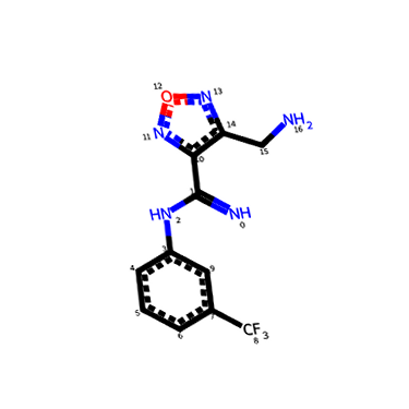 N=C(Nc1cccc(C(F)(F)F)c1)c1nonc1CN